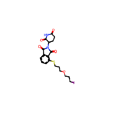 O=C1CCC(N2C(=O)c3cccc(SCCCOCCCI)c3C2=O)C(=O)N1